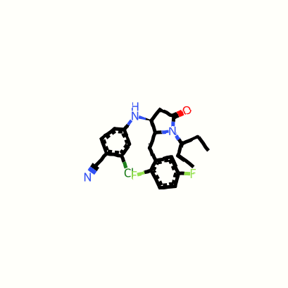 CCC(CC)N1C(=O)C[C@H](Nc2ccc(C#N)c(Cl)c2)C1Cc1cc(F)ccc1F